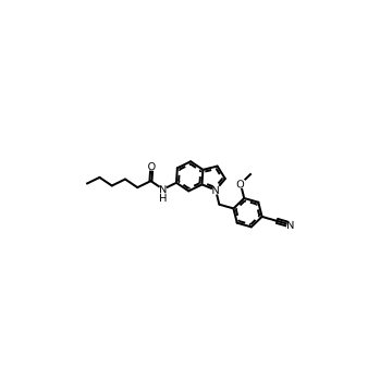 CCCCCC(=O)Nc1ccc2ccn(Cc3ccc(C#N)cc3OC)c2c1